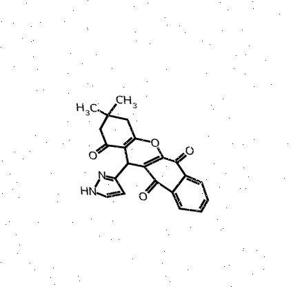 CC1(C)CC(=O)C2=C(C1)OC1=C(C(=O)c3ccccc3C1=O)C2c1cc[nH]n1